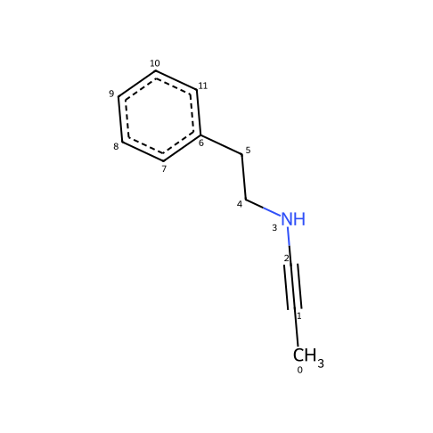 CC#CNCCc1ccccc1